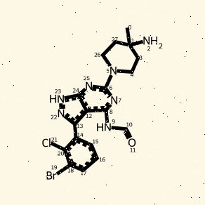 CC1(N)CCN(c2nc(NC=O)c3c(-c4cccc(Br)c4Cl)n[nH]c3n2)CC1